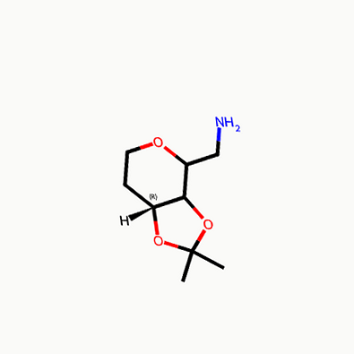 CC1(C)OC2C(CN)OCC[C@H]2O1